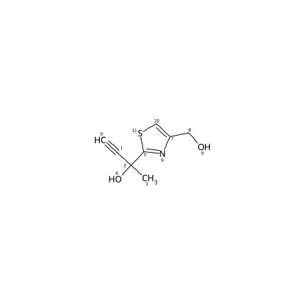 C#CC(C)(O)c1nc(CO)cs1